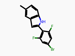 Cc1ccc2[nH]c(-c3c(F)cc(Br)cc3F)cc2c1